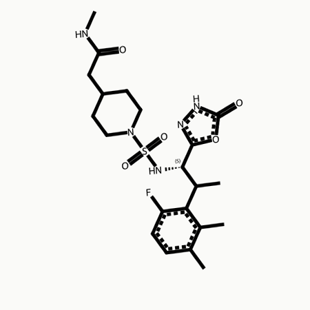 CNC(=O)CC1CCN(S(=O)(=O)N[C@H](c2n[nH]c(=O)o2)C(C)c2c(F)ccc(C)c2C)CC1